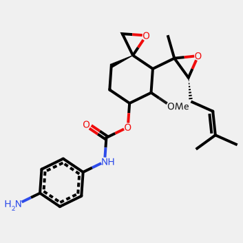 COC1C(OC(=O)Nc2ccc(N)cc2)CC[C@]2(CO2)C1C1(C)O[C@@H]1CC=C(C)C